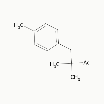 CC(=O)C(C)(C)Cc1ccc(C)cc1